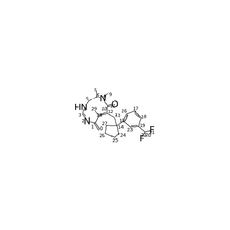 C=C1/N=C\NCC(C)N(C)C(=O)/C(CC2(c3cccc(C(F)F)c3)CCCC2)=C/1C